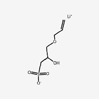 C=CCOCC(O)CS(=O)(=O)[O-].[Li+]